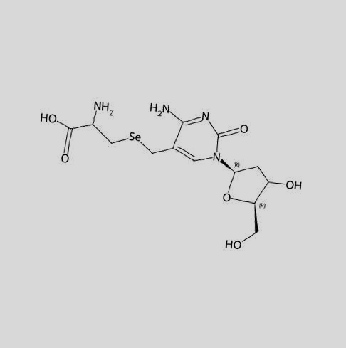 Nc1nc(=O)n([C@H]2CC(O)[C@@H](CO)O2)cc1C[Se]CC(N)C(=O)O